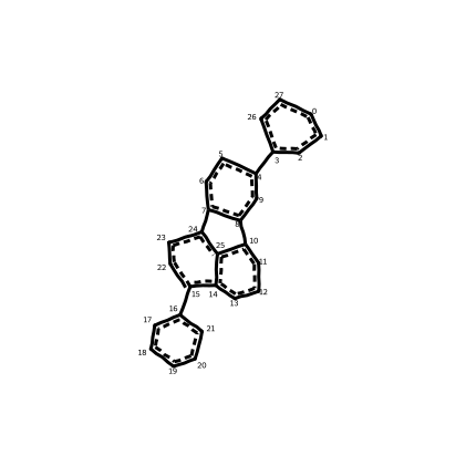 c1ccc(-c2ccc3c(c2)-c2cccc4c(-c5ccccc5)ccc-3c24)cc1